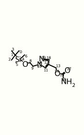 CC(C)(C)[Si](C)(C)OCCn1cc(COC(N)=O)cn1